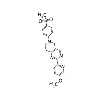 COc1ccc(-c2ncc3c(n2)CCN(c2ccc(S(C)(=O)=O)cc2)C3)nc1